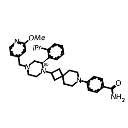 COc1cc(CN2CCN(C3CC4(CCN(c5ccc(C(N)=O)cc5)CC4)C3)[C@H](c3ccccc3C(C)C)C2)ccn1